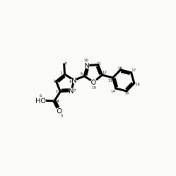 Cc1cc(C(=O)O)nn1-c1ncc(-c2ccccc2)o1